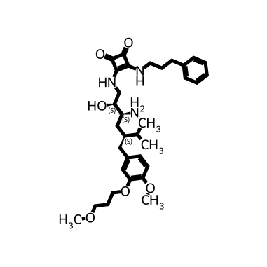 COCCCOc1cc(C[C@@H](C[C@H](N)[C@@H](O)CNc2c(NCCCc3ccccc3)c(=O)c2=O)C(C)C)ccc1OC